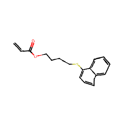 C=CC(=O)OCCCCSc1cccc2ccccc12